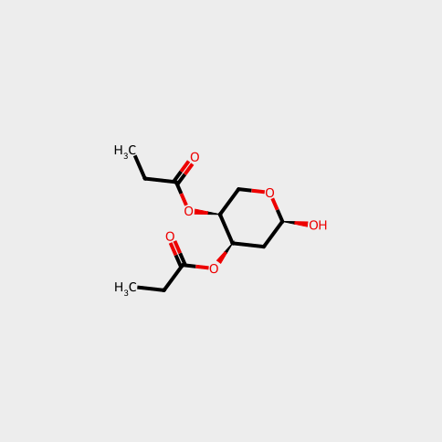 CCC(=O)O[C@H]1CO[C@@H](O)C[C@H]1OC(=O)CC